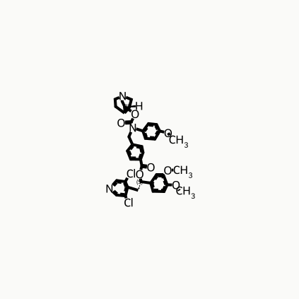 COc1ccc(N(Cc2ccc(C(=O)O[C@@H](Cc3c(Cl)cncc3Cl)c3ccc(OC)c(OC)c3)cc2)C(=O)O[C@H]2CN3CCC2CC3)cc1